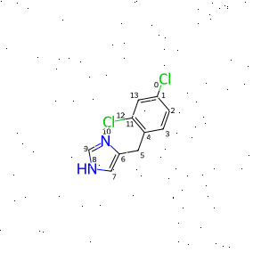 Clc1ccc(Cc2c[nH]cn2)c(Cl)c1